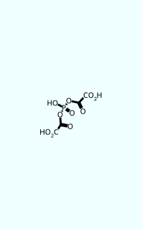 O=C(O)C(=O)OP(=O)(O)OC(=O)C(=O)O